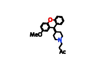 COc1ccc2c(c1)C(=C1CCN(CCC(C)=O)CC1)c1ccccc1O2